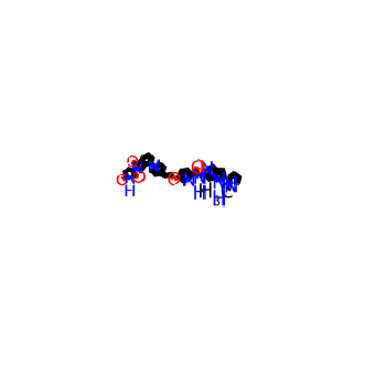 CN1CCC[C@@H]1c1cc2cnc(NC(=O)c3ccc(OCCC4CCN(c5cccc6c5CN(C5CCC(=O)NC5=O)C6=O)CC4)cn3)cc2[nH]1